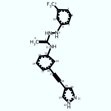 C=C(NNc1cccc(C(F)(F)F)c1)Nc1cccc(C#Cc2cn[nH]c2)c1